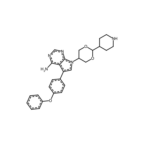 Nc1ncnc2c1c(-c1ccc(Oc3ccccc3)cc1)cn2C1COC(C2CCNCC2)OC1